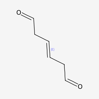 O=CC/C=C/CC=O